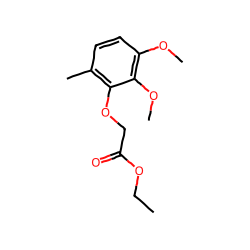 CCOC(=O)COc1c(C)ccc(OC)c1OC